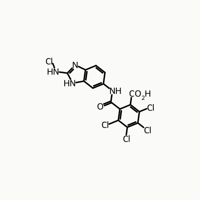 O=C(O)c1c(Cl)c(Cl)c(Cl)c(Cl)c1C(=O)Nc1ccc2nc(NCl)[nH]c2c1